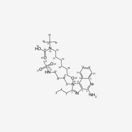 CCCC1=Nc2c(N)nc3ccccc3c2[N+]1(CCCCNS(C)(=O)=O)OCCCCCCN(C(=O)O)C(C)(C)C